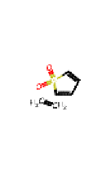 C=C.O=S1(=O)C=CC=C1